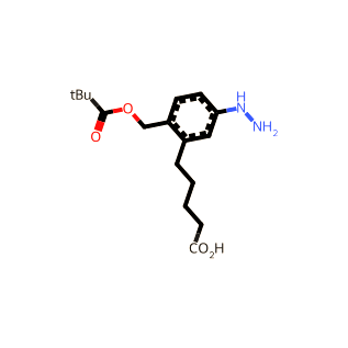 CC(C)(C)C(=O)OCc1ccc(NN)cc1CCCCC(=O)O